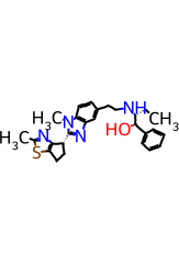 CC[C@@H](NCCc1ccc2c(c1)nc([C@@H]1CCc3sc(C)nc31)n2C)[C@H](O)c1ccccc1